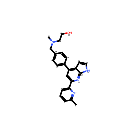 Cc1cccc(-c2cc(-c3ccc(CN(C)CCO)cc3)c3cc[nH]c3n2)n1